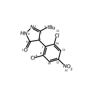 CC(C)(C)C1=NNC(=O)C1c1c(Cl)cc([N+](=O)[O-])cc1Cl